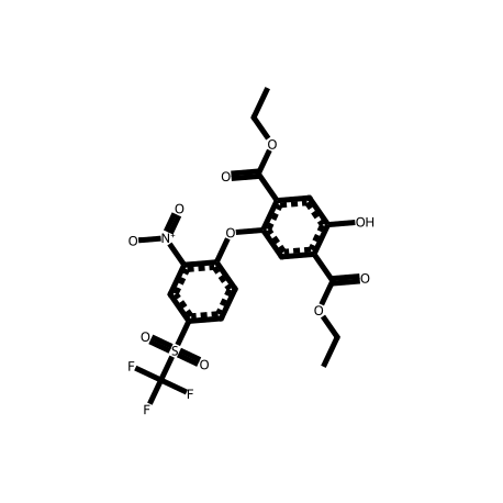 CCOC(=O)c1cc(Oc2ccc(S(=O)(=O)C(F)(F)F)cc2[N+](=O)[O-])c(C(=O)OCC)cc1O